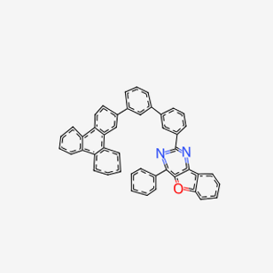 c1ccc(-c2nc(-c3cccc(-c4cccc(-c5ccc6c7ccccc7c7ccccc7c6c5)c4)c3)nc3c2oc2ccccc23)cc1